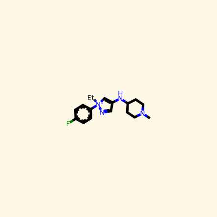 CC[N+]1(c2ccc(F)cc2)C=C(NC2CCN(C)CC2)C=N1